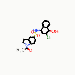 CC(=O)N1CCc2cc(S(=O)(=O)Nc3cc(Cl)c(O)c4ccccc34)ccc21